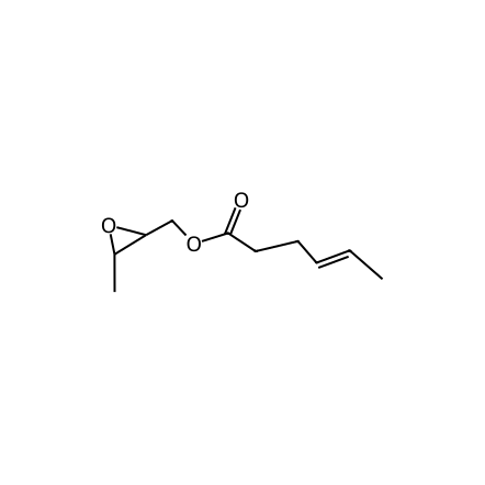 CC=CCCC(=O)OCC1OC1C